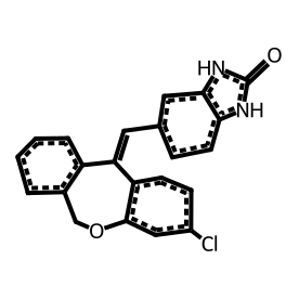 O=c1[nH]c2ccc(C=C3c4ccccc4COc4cc(Cl)ccc43)cc2[nH]1